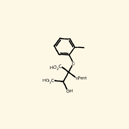 CCCCCC(Oc1ccccc1C)(C(=O)O)C(O)C(=O)O